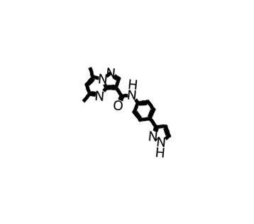 Cc1cc(C)n2ncc(C(=O)Nc3ccc(-c4cc[nH]n4)cc3)c2n1